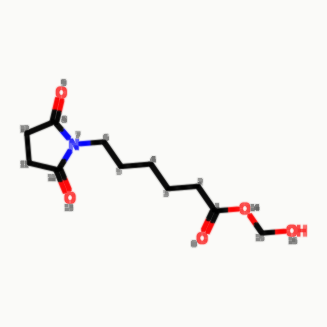 O=C(CCCCCN1C(=O)CCC1=O)OCO